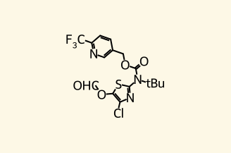 CC(C)(C)N(C(=O)OCc1ccc(C(F)(F)F)nc1)c1nc(Cl)c(OC=O)s1